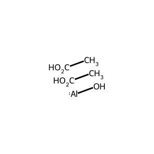 CC(=O)O.CC(=O)O.[OH][Al]